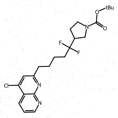 CC(C)(C)OC(=O)N1CCC(C(F)(F)CCCCc2cc(Cl)c3cccnc3n2)C1